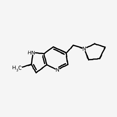 Cc1cc2ncc(CN3CCCC3)cc2[nH]1